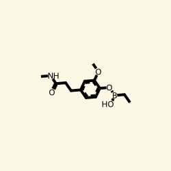 CCB(O)Oc1ccc(CCC(=O)NC)cc1OC